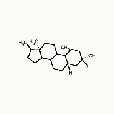 CC1CCC2C3CC[C@H]4C[C@](O)(I)CC[C@]4(C)C3CC[C@]12C